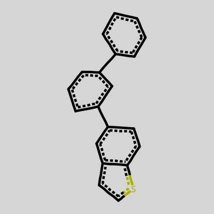 c1ccc(-c2cccc(-c3ccc4sccc4c3)c2)cc1